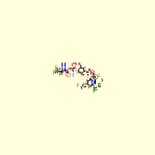 Cc1cc(C2=NOC(c3cc(C(F)(F)F)cc(C(F)F)n3)(C(F)(F)F)C2)ccc1C(=O)NCC(=O)NC(F)C(F)F